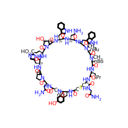 CCCC[C@H]1C(=O)N(C)[C@@H](CCCC)C(=O)N[C@@H](CC(C)C)C(=O)N[C@H](C(=O)NCC(N)=O)CSCC(=O)N[C@@H](Cc2ccc(O)cc2)C(=O)N(CCC)CC(=O)N[C@@H](CC(N)=O)C(=O)N2CCC[C@H]2C(=O)N[C@@H](Cc2cnc[nH]2)C(=O)N[C@@H](CCC(=O)O)C(=O)N2C[C@H](O)C[C@H]2C(=O)N[C@@H](Cc2c[nH]c3ccccc23)C(=O)N[C@@H](CCN)C(=O)N[C@@H](Cc2c[nH]c3ccccc23)C(=O)N1C